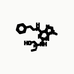 CC[C@H](CO)Nc1nc(NCCc2ccccc2)c2ncn(C)c2n1